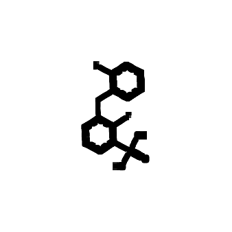 O=P(O)(O)c1cccc(Cc2ccccc2F)c1F